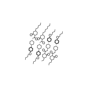 CCCCCC1CCC(C(=O)C[C@H]2CC[C@H](c3ccc(OCCCC)cc3)CC2)C(=O)C1.CCCCCCCC1CCC(C(=O)C[C@H]2CC[C@H](c3ccc(OCCCC)cc3)CC2)C(=O)C1.CCCCOc1ccc([C@H]2CC[C@H](CC(=O)C3CCC(CC)CC3=O)CC2)cc1.CCCCOc1ccc([C@H]2CC[C@H](CC(=O)C3CCC(CCC)CC3=O)CC2)cc1